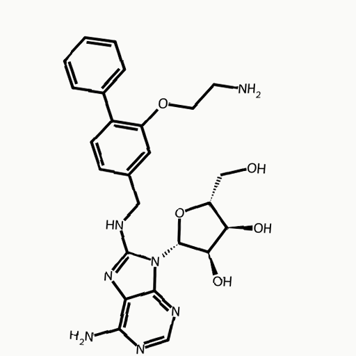 NCCOc1cc(CNc2nc3c(N)ncnc3n2[C@@H]2O[C@H](CO)[C@@H](O)[C@H]2O)ccc1-c1ccccc1